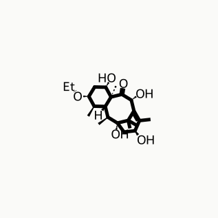 CCO[C@@H]1C[C@H](O)[C@@]2(C)C(=O)[C@H](O)C3=C(C)[C@@H](O)C[C@@](O)([C@@H](C)[C@@H]2[C@H]1C)C3(C)C